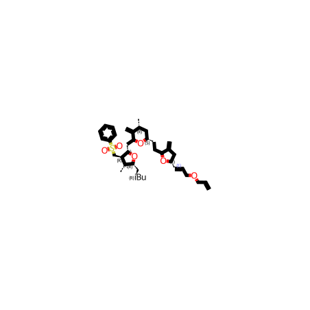 C=CCOC/C=C/[C@H]1CC(=C)C(CC[C@H]2C[C@@H](C)C(=C)C(C[C@@H]3O[C@H](C[C@H](C)CC)[C@H](C)[C@H]3CS(=O)(=O)c3ccccc3)O2)O1